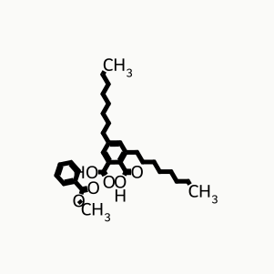 CCCCCCCCc1cc(CCCCCCCC)c(C(=O)O)c(C(=O)O)c1.COC(=O)c1ccccc1